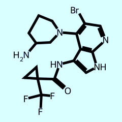 NC1CCCN(c2c(Br)cnc3[nH]cc(NC(=O)C4(C(F)(F)F)CC4)c23)C1